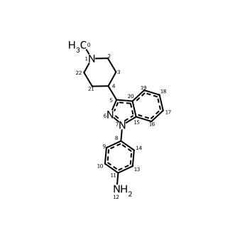 CN1CCC(c2nn(-c3ccc(N)cc3)c3ccccc23)CC1